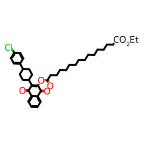 CCOC(=O)CCCCCCCCCCCCCCC(=O)OC1=C(C2CCC(c3ccc(Cl)cc3)CC2)C(=O)c2ccccc2C1=O